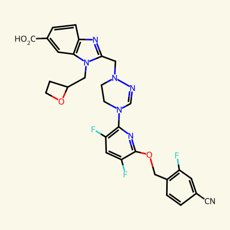 N#Cc1ccc(COc2nc(N3C=NN(Cc4nc5ccc(C(=O)O)cc5n4CC4CCO4)CC3)c(F)cc2F)c(F)c1